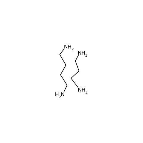 NCCCCN.NCCCN